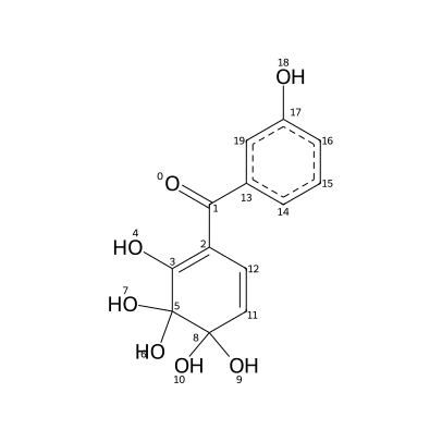 O=C(C1=C(O)C(O)(O)C(O)(O)C=C1)c1cccc(O)c1